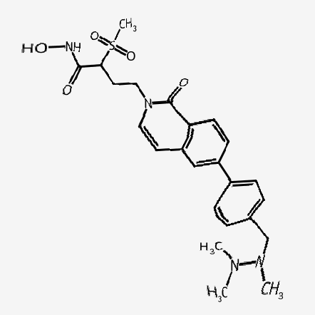 CN(C)N(C)Cc1ccc(-c2ccc3c(=O)n(CCC(C(=O)NO)S(C)(=O)=O)ccc3c2)cc1